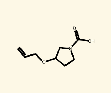 C=CCOC1CCN(C(=O)O)C1